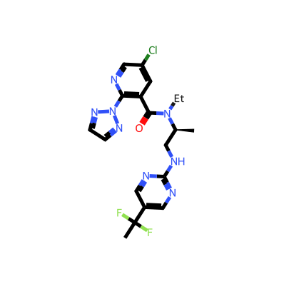 CCN(C(=O)c1cc(Cl)cnc1-n1nccn1)[C@@H](C)CNc1ncc(C(C)(F)F)cn1